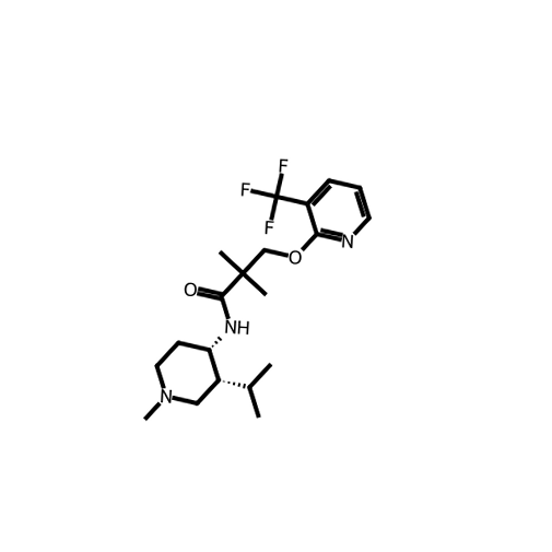 CC(C)[C@@H]1CN(C)CC[C@@H]1NC(=O)C(C)(C)COc1ncccc1C(F)(F)F